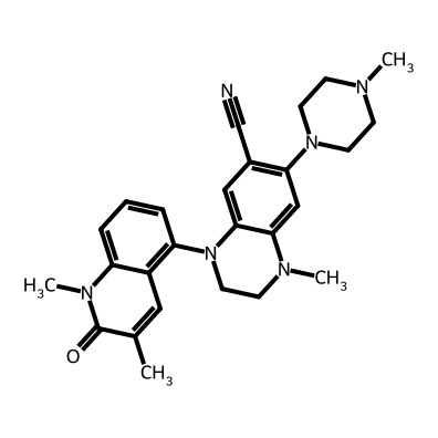 Cc1cc2c(N3CCN(C)c4cc(N5CCN(C)CC5)c(C#N)cc43)cccc2n(C)c1=O